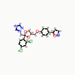 Clc1ccc(C2(Cn3cncn3)OCC(COc3ccc(-c4ccno4)cc3)O2)c(Cl)c1